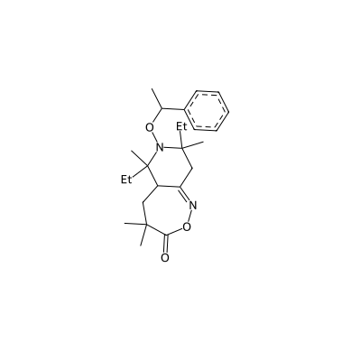 CCC1(C)CC2=NOC(=O)C(C)(C)CC2C(C)(CC)N1OC(C)c1ccccc1